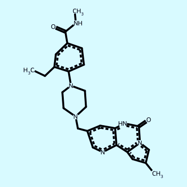 CCc1cc(C(=O)NC)ccc1N1CCN(Cc2cnc3c(c2)[nH]c(=O)n2cc(C)cc32)CC1